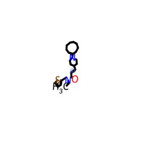 CCN(Cc1cccs1)C(=O)/C=C/C1CCN(C2CCCCCCCC2)CC1